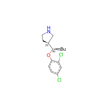 CCCC[C@@H](Oc1ccc(Cl)cc1Cl)[C@H]1CCNC1